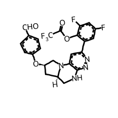 O=Cc1ccc(O[C@@H]2C[C@@H]3CNc4nnc(-c5cc(F)cc(F)c5OC(=O)C(F)(F)F)cc4N3C2)cc1